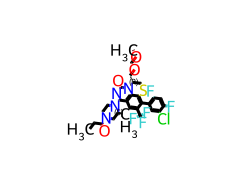 CCC(=O)N1CCN(c2nc(=O)n3c4c(c(-c5cc(Cl)c(F)cc5F)c(C(F)(F)F)cc24)SC[C@H]3COCOC)[C@@H](C)C1